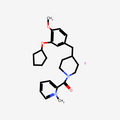 COc1ccc(CC2CCN(C(=O)c3cccc[n+]3C)CC2)cc1OC1CCCC1.[I-]